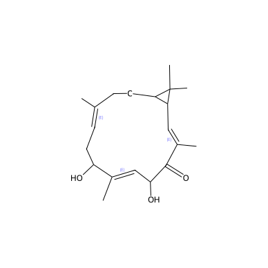 C/C1=C\CC(O)/C(C)=C/C(O)C(=O)/C(C)=C/C2C(CC1)C2(C)C